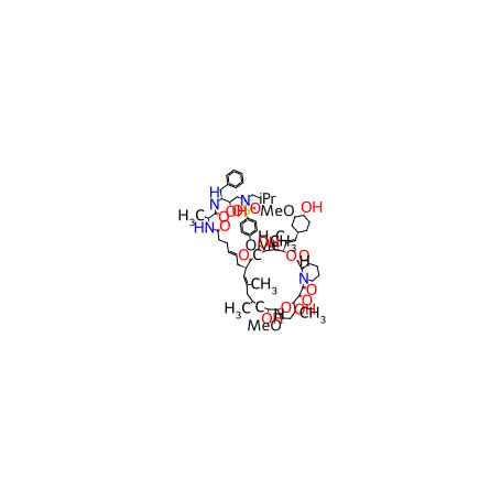 COc1ccc(S(=O)(=O)N(CC(C)C)C[C@@H](O)[C@H](Cc2ccccc2)NC(=O)C(C)NC(=O)CC/C=C/C[C@@H]2/C=C(\C)C[C@H](C)C[C@H](O)[C@H]3O[C@@](O)(C(=O)C(=O)N4CCCC[C@H]4C(=O)O[C@H](/C(C)=C/[C@@H]4CC[C@@H](O)[C@H](OC)C4)[C@H](C)[C@@H](O)CC2=O)[C@H](C)C[C@@H]3OC)cc1